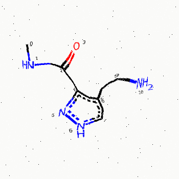 CNC(=O)c1n[nH]cc1CN